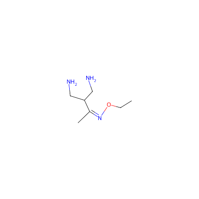 CCON=C(C)C(CN)CN